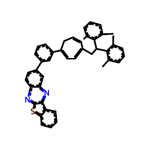 Cc1cccc(C)c1C(CC1=CC=C(c2cccc(-c3ccc4nc5sc6ccccc6c5nc4c3)c2)CC=C1)c1c(C)cccc1C